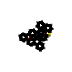 c1ccc(N(c2ccc3c(oc4ccccc43)c2C2(c3ccccc3)Cc3ccccc3-c3ccccc32)c2cccc3sc4ccccc4c23)cc1